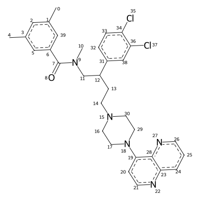 Cc1cc(C)cc(C(=O)N(C)CC(CCN2CCN(c3ccnc4cccnc34)CC2)c2ccc(Cl)c(Cl)c2)c1